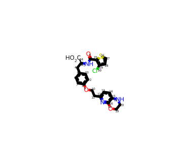 O=C(N[C@@H](Cc1ccc(OCCc2ccc3c(n2)OCCN3)cc1)C(=O)O)c1sccc1Cl